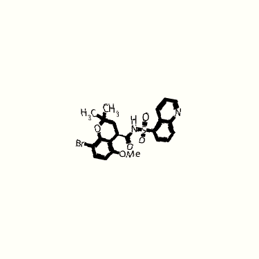 COc1ccc(Br)c2c1[C@H](C(=O)NS(=O)(=O)c1cccc3ncccc13)CC(C)(C)O2